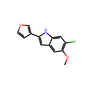 COc1cc2cc(-c3ccoc3)[nH]c2cc1Cl